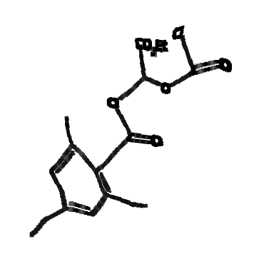 CCOC(=O)C(OC(=O)Cl)OC(=O)c1c(C)cc(C)cc1C